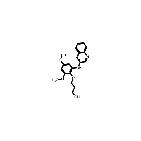 COc1cc(Nc2[c]nc3ccccc3n2)c(OCCCO)c(OC)c1